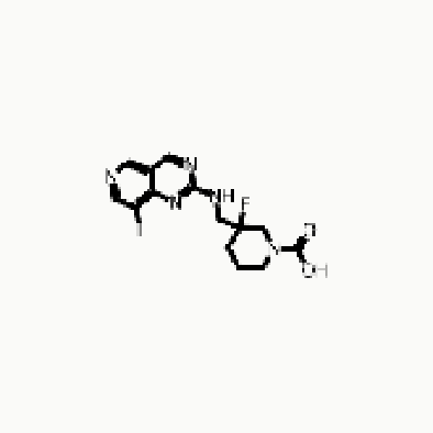 O=C(O)N1CCCC(F)(CNc2ncc3cncc(I)c3n2)C1